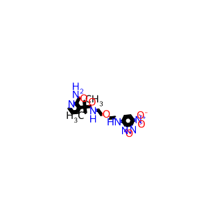 CCC(CC)(C(=O)NCCOCCNc1ccc([N+](=O)[O-])c2nonc12)c1cccnc1C(N)=O